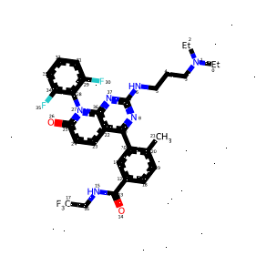 CCN(CC)CCCNc1nc(-c2cc(C(=O)NCC(F)(F)F)ccc2C)c2ccc(=O)n(-c3c(F)cccc3F)c2n1